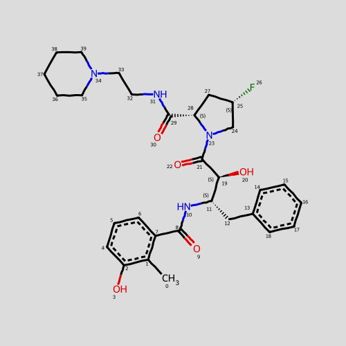 Cc1c(O)cccc1C(=O)N[C@@H](Cc1ccccc1)[C@H](O)C(=O)N1C[C@@H](F)C[C@H]1C(=O)NCCN1CCCCC1